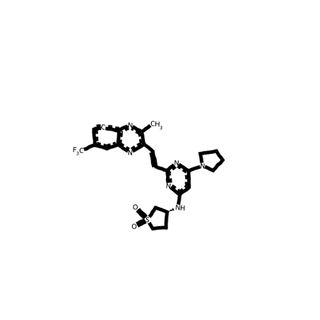 Cc1nc2ccc(C(F)(F)F)cc2nc1C=Cc1nc(N[C@@H]2CCS(=O)(=O)C2)cc(N2CCCC2)n1